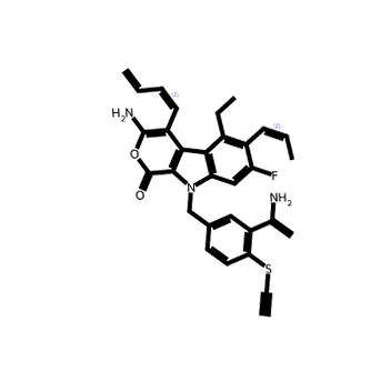 C#CSc1ccc(Cn2c3cc(F)c(/C=C\C)c(CC)c3c3c(/C=C\C=C)c(N)oc(=O)c32)cc1C(=C)N